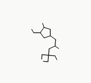 CCC1CC(CC(C)CC2(CF)COC2)CC1O